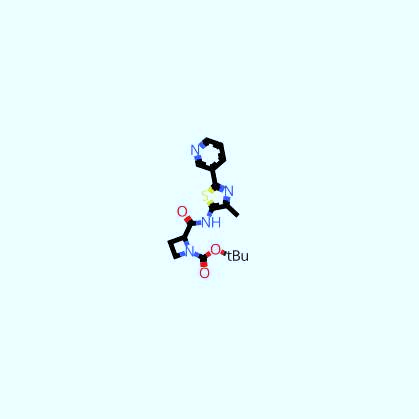 Cc1nc(-c2cccnc2)sc1NC(=O)C1CCN1C(=O)OC(C)(C)C